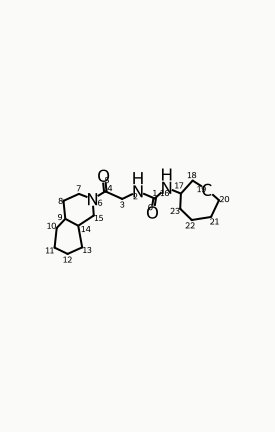 O=C(NCC(=O)N1CCC2CCCCC2C1)NC1CCCCCC1